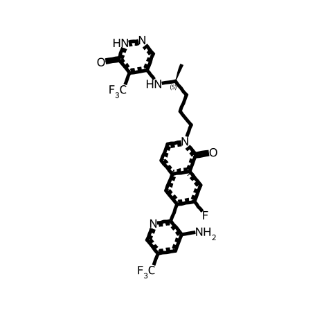 C[C@@H](CCCn1ccc2cc(-c3ncc(C(F)(F)F)cc3N)c(F)cc2c1=O)Nc1cn[nH]c(=O)c1C(F)(F)F